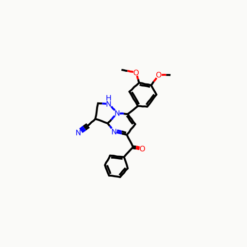 COc1ccc(C2=CC(C(=O)c3ccccc3)=NC3C(C#N)CNN23)cc1OC